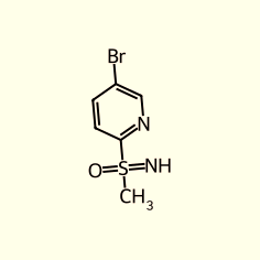 CS(=N)(=O)c1ccc(Br)cn1